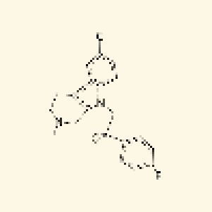 CN1CCc2c(n(CC(=O)c3ccc(F)cc3)c3ccc(Cl)cc23)C1